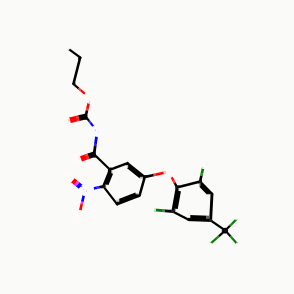 CCCOC(=O)NC(=O)c1cc(Oc2c(Cl)cc(C(F)(F)F)cc2Br)ccc1[N+](=O)[O-]